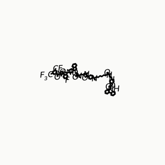 CN(CCN1CCC(OC(=O)Nc2ccccc2-c2ccccc2)CC1)C(=O)CCCCCCN(C)c1ccc(C(=O)N(C)CCCN(C)C(=O)CO[C@H]2Cc3ccccc3C23CCN(CC[C@]2(c4ccc(F)cc4)CN(C(=O)c4cc(C(F)(F)F)cc(C(F)(F)F)c4)CO2)CC3)cc1